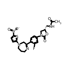 CC(=O)NC[C@H]1CN(c2ccc(C3=NCCCN(c4ccc([N+](=O)[O-])s4)C3)c(F)c2)C(=O)O1